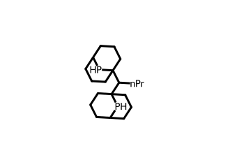 CCCC(C12CCCC(CCC1)P2)C12CCCC(CCC1)P2